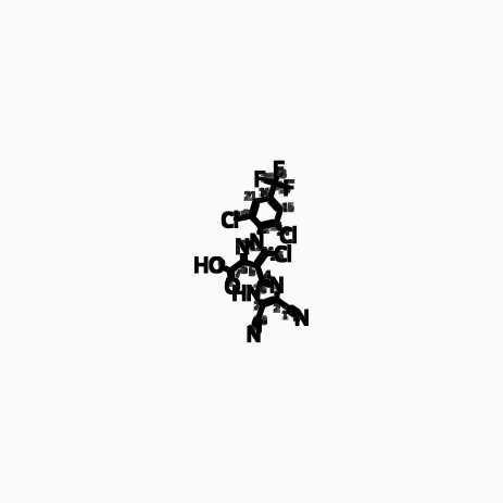 N#Cc1nc(-c2c(C(=O)O)nn(-c3c(Cl)cc(C(F)(F)F)cc3Cl)c2Cl)[nH]c1C#N